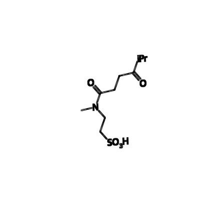 CC(C)C(=O)CCC(=O)N(C)CCS(=O)(=O)O